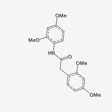 COc1ccc(CC(=O)Nc2ccc(OC)cc2OC)c(OC)c1